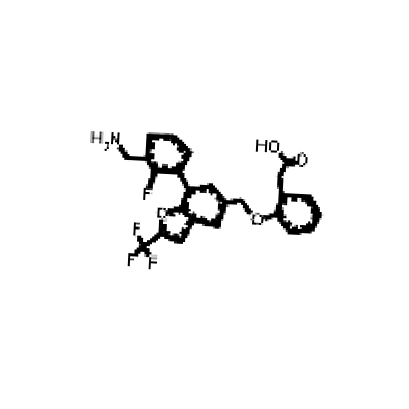 NCc1cccc(-c2cc(COc3ccccc3CC(=O)O)cc3cc(C(F)(F)F)oc23)c1F